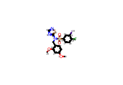 COc1ccc(CN(c2ncns2)S(=O)(=O)c2ccc(F)c(I)c2)c(OC)c1